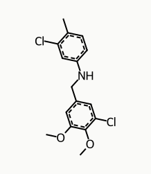 COc1cc(CNc2ccc(C)c(Cl)c2)cc(Cl)c1OC